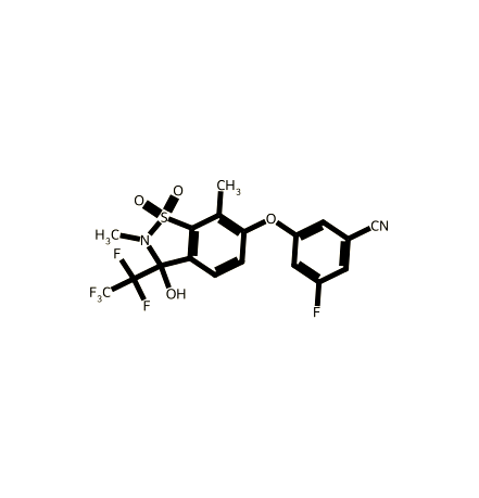 Cc1c(Oc2cc(F)cc(C#N)c2)ccc2c1S(=O)(=O)N(C)C2(O)C(F)(F)C(F)(F)F